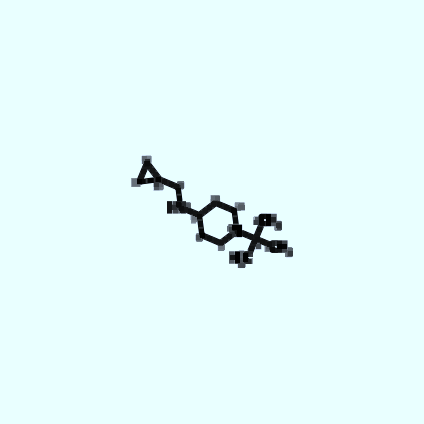 CC(C)(C)N1CCC(NCC2CC2)CC1